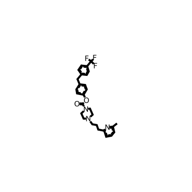 Cc1cccc(CCCN2CCN(C(=O)Oc3ccc(Cc4ccc(C(F)(F)F)cc4)cc3)CC2)n1